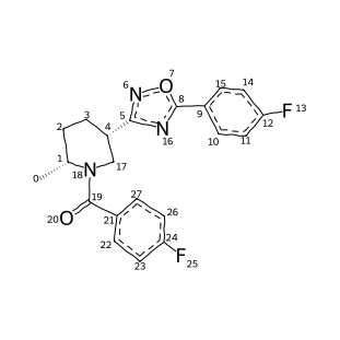 C[C@@H]1CC[C@H](c2noc(-c3ccc(F)cc3)n2)CN1C(=O)c1ccc(F)cc1